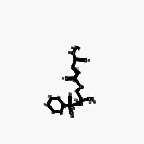 CC(COC(=O)/C=C/C(=O)OC(C)C)NS(=O)(=O)C1CCCCC1